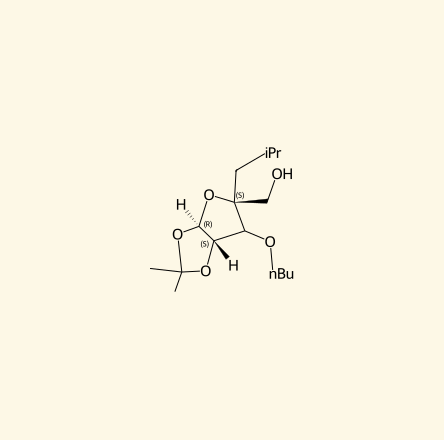 CCCCOC1[C@@H]2OC(C)(C)O[C@H]2O[C@]1(CO)CC(C)C